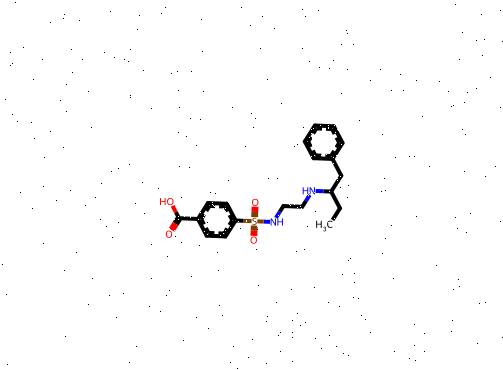 CCC(Cc1ccccc1)NCCNS(=O)(=O)c1ccc(C(=O)O)cc1